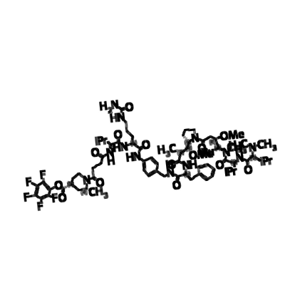 CC[C@H](C)[C@@H]([C@@H](CC(=O)N1CCC[C@H]1[C@H](OC)[C@@H](C)C(=O)N[C@@H](Cc1ccccc1)C(=O)NCc1ccc(NC(=O)[C@H](CCCNC(N)=O)NC(=O)[C@@H](NC(=O)CCC(=O)N2CC[C@@H](C(=O)Oc3c(F)c(F)c(F)c(F)c3F)C[C@H]2C)C(C)C)cc1)OC)N(C)C(=O)[C@@H](NC(=O)[C@H](C(C)C)N(C)C)C(C)C